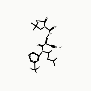 CC(C)CC(C)N(C(=O)C(C#N)=CNC(=N)N1CC(C)(C)NC1=O)c1cccc(C(F)(F)F)c1.Cl